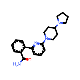 NC(=O)c1ccccc1-c1cccc(N2CCC(N3CCCC3)CC2)n1